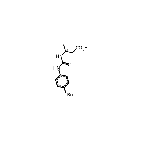 C[C@@H](CC(=O)O)NC(=O)Nc1ccc(C(C)(C)C)cc1